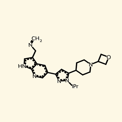 C=NCc1c[nH]c2ncc(-c3cc(C4CCN(C5COC5)CC4)n(C(C)C)n3)cc12